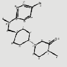 CN1CCN([C@H]2CC[C@H](CN(C)c3ccc(Br)nn3)CC2)CC1=O